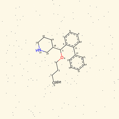 COCCCOC(c1ccccc1-c1ccccc1)C1CCCNC1